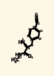 CNC(=O)C(=N)Cc1ccc(C#N)cc1